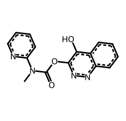 CN(C(=O)Oc1nnc2ccccc2c1O)c1ccccn1